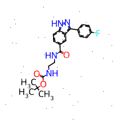 CC(C)(C)OC(=O)NCCNC(=O)c1ccc2[nH]nc(-c3ccc(F)cc3)c2c1